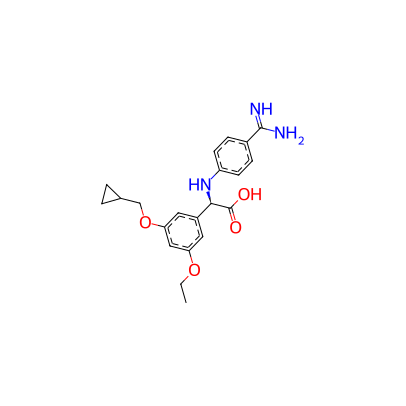 CCOc1cc(OCC2CC2)cc([C@@H](Nc2ccc(C(=N)N)cc2)C(=O)O)c1